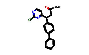 COC(=O)CC(c1ccc(-c2ccccc2)cc1)c1ccnc(Cl)n1